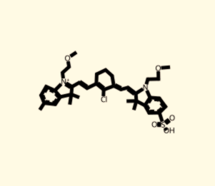 COCCN1/C(=C/C=C2\CCCC(/C=C/C3=[N+](CCOC)c4ccc(C)cc4C3(C)C)=C2Cl)C(C)(C)c2cc(S(=O)(=O)O)ccc21